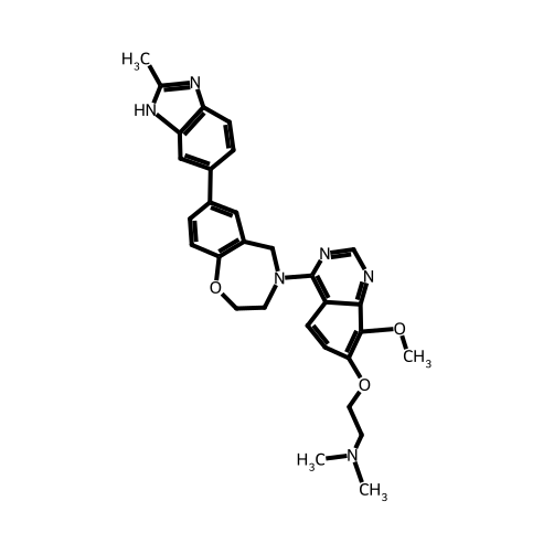 COc1c(OCCN(C)C)ccc2c(N3CCOc4ccc(-c5ccc6nc(C)[nH]c6c5)cc4C3)ncnc12